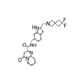 O=C(NCc1ccc2cc(CN3CC4(C3)CC(F)(F)C4)[nH]c2c1)c1cc(=O)n2ccccc2n1